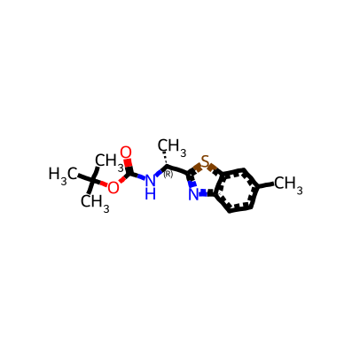 Cc1ccc2nc([C@@H](C)NC(=O)OC(C)(C)C)sc2c1